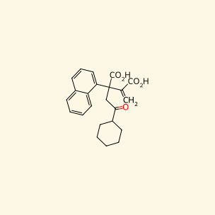 C=C(C(=O)O)C(CC(=O)C1CCCCC1)(C(=O)O)c1cccc2ccccc12